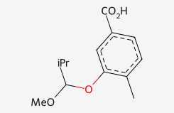 COC(Oc1cc(C(=O)O)ccc1C)C(C)C